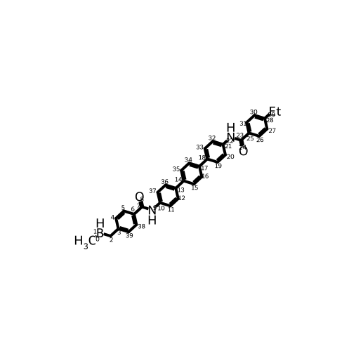 CBCc1ccc(C(=O)Nc2ccc(-c3ccc(-c4ccc(NC(=O)c5ccc(CC)cc5)cc4)cc3)cc2)cc1